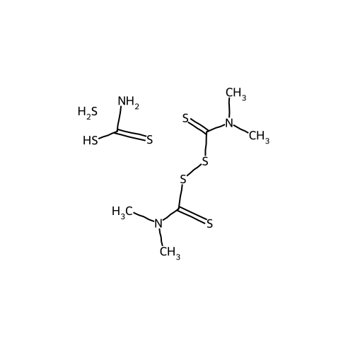 CN(C)C(=S)SSC(=S)N(C)C.NC(=S)S.S